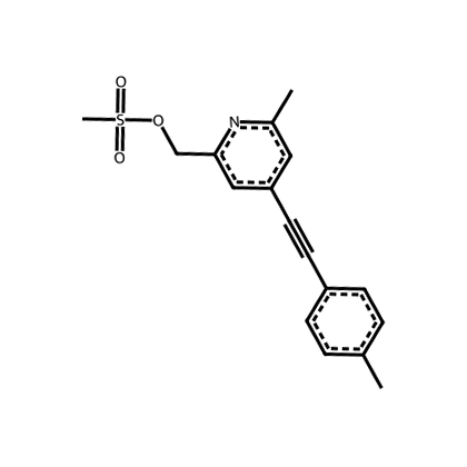 Cc1ccc(C#Cc2cc(C)nc(COS(C)(=O)=O)c2)cc1